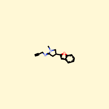 C#CCN=C1CC(c2cc3ccccc3o2)CN1C